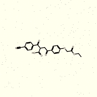 CCOC(=O)COc1ccc(C(=O)CC(C(=O)O)C(=O)c2ccc(C#N)cc2)cc1